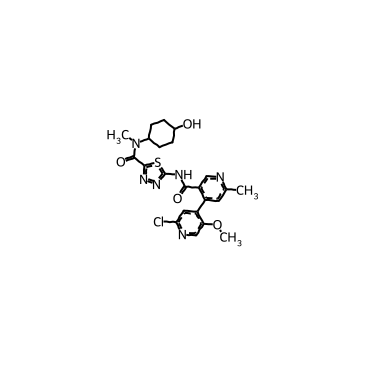 COc1cnc(Cl)cc1-c1cc(C)ncc1C(=O)Nc1nnc(C(=O)N(C)C2CCC(O)CC2)s1